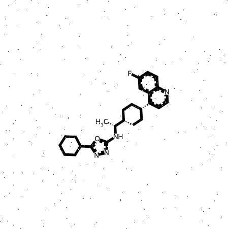 C[C@@H](Nc1nnc(C2CCCCC2)o1)[C@H]1CC[C@@H](c2ccnc3ccc(F)cc32)CC1